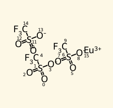 O=S(=O)([O-])C(F)(F)F.O=S(=O)([O-])C(F)(F)F.O=S(=O)([O-])C(F)(F)F.[Eu+3]